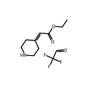 CCOC(=O)C=C1CCNCC1.O=CC(F)(F)F